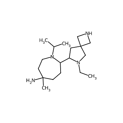 CCN1CC2(CNC2)CC1C1CCC(C)(N)CCN1C(C)C